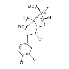 CCOC(=O)C1(N)C([S+]([O-])Cc2ccc(Cl)c(Cl)c2)C[C@@H]2C1[C@@]2(F)C(=O)OCC